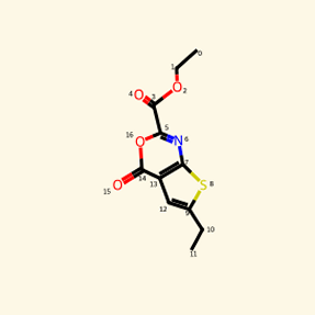 CCOC(=O)c1nc2sc(CC)cc2c(=O)o1